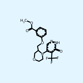 COC(=O)c1cccc(OCC2COCCN2c2cn[nH]c(=O)c2C(F)(F)F)c1